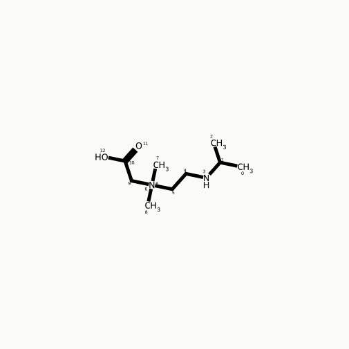 CC(C)NCC[N+](C)(C)CC(=O)O